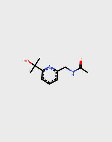 CC(=O)NCc1cccc(C(C)(C)O)n1